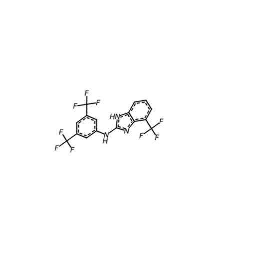 FC(F)(F)c1cc(Nc2nc3c(C(F)(F)F)cccc3[nH]2)cc(C(F)(F)F)c1